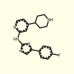 Fc1ccc(-c2cnc(Nc3cc(C4CCNCC4)ccn3)s2)cc1